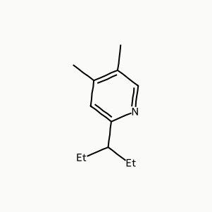 CCC(CC)c1cc(C)c(C)cn1